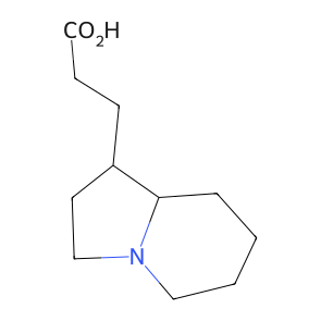 O=C(O)CCC1CCN2CCCCC12